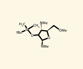 CN[C@@H]1O[C@H](COC)[C@@H](NC)C1O[Si](C)(C)C(C)(C)C